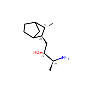 C[C@H](N)[C@@H](O)C[C@H]1C2CCC(C2)[C@@H]1C